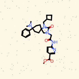 COC(=O)c1ccc(NC(=O)CN2CC3(CCC(c4ccccc4)(N(C)C)CC3)N(CC3CCC3)C2=O)nc1